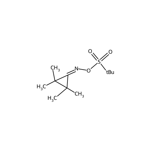 CC1(C)C(=NOS(=O)(=O)C(C)(C)C)C1(C)C